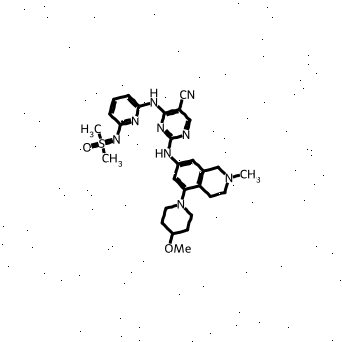 COC1CCN(c2cc(Nc3ncc(C#N)c(Nc4cccc(N=S(C)(C)=O)n4)n3)cc3c2CCN(C)C3)CC1